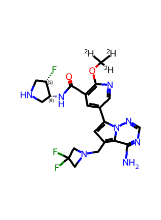 [2H]C([2H])([2H])Oc1ncc(-c2cc(CN3CC(F)(F)C3)c3c(N)ncnn23)cc1C(=O)N[C@@H]1CNC[C@@H]1F